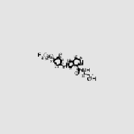 Cc1cc(Cn2cc3c(C(=O)NCCO)nccc3n2)ccc1OCC(F)(F)F